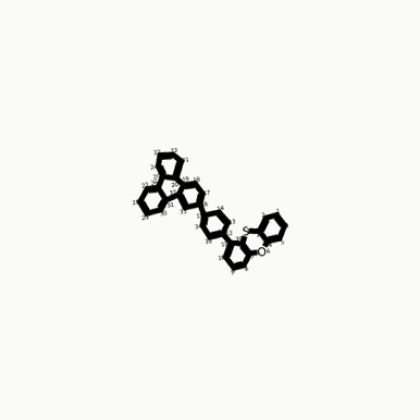 c1ccc2c(c1)Oc1cccc(-c3ccc(-c4ccc5c6ccccc6c6ccccc6c5c4)cc3)c1S2